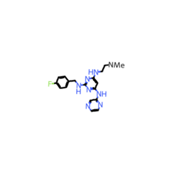 CNCCNc1cc(Nc2cnccn2)nc(NCc2ccc(F)cc2)n1